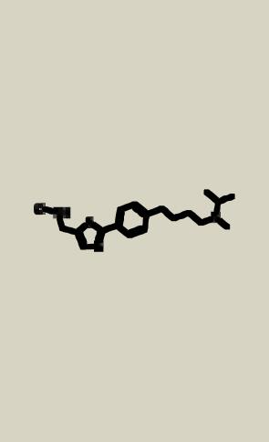 CC(C)N(C)CCCCc1ccc(-c2ncc(CNCl)s2)cc1